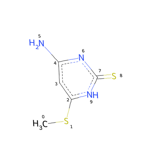 CSc1cc(N)nc(=S)[nH]1